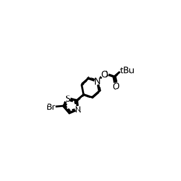 CC(C)(C)C(=O)ON1CCC(c2ncc(Br)s2)CC1